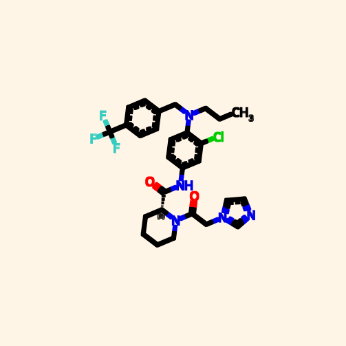 CCCN(Cc1ccc(C(F)(F)F)cc1)c1ccc(NC(=O)[C@H]2CCCCN2C(=O)Cn2ccnc2)cc1Cl